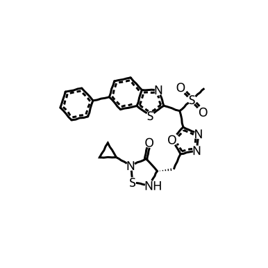 CS(=O)(=O)C(c1nnc(C[C@@H]2NSN(C3CC3)C2=O)o1)c1nc2ccc(-c3ccccc3)cc2s1